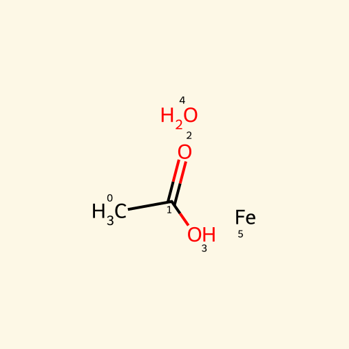 CC(=O)O.O.[Fe]